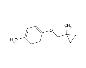 CC1=CC=C(OCC2(C)CC2)CC1